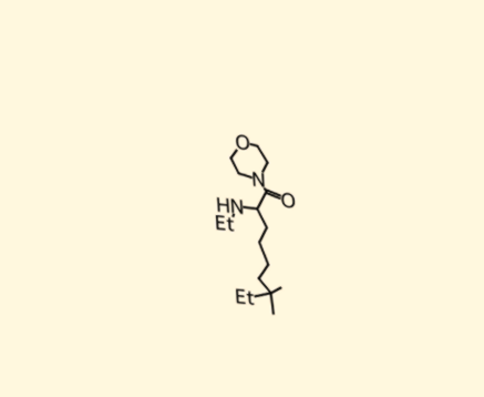 CCNC(CCCCC(C)(C)CC)C(=O)N1CCOCC1